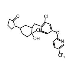 CC1(O)CCC(N2CCCC2=O)CC1Cc1ccc(Oc2ccc(C(F)(F)F)cn2)cc1Cl